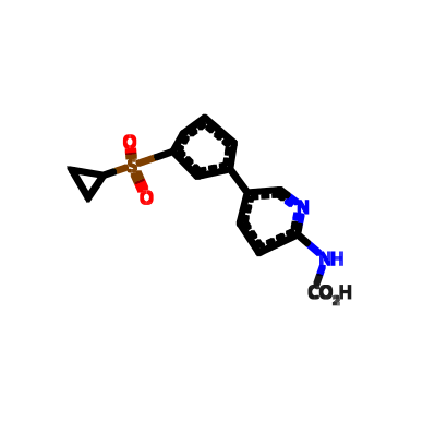 O=C(O)Nc1ccc(-c2cccc(S(=O)(=O)C3CC3)c2)cn1